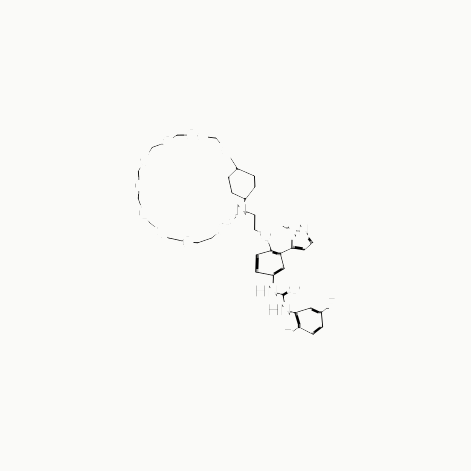 Cn1nccc1-c1cc(NC(=O)Nc2cc(F)ccc2F)ccc1OCCN1CCCCCCCCCCCCCCCCCCCCC2CCC1CC2